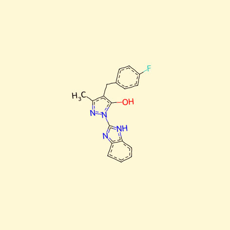 Cc1nn(-c2nc3ccccc3[nH]2)c(O)c1Cc1ccc(F)cc1